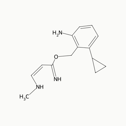 CN/C=C\C(=N)OCc1c(N)cccc1C1CC1